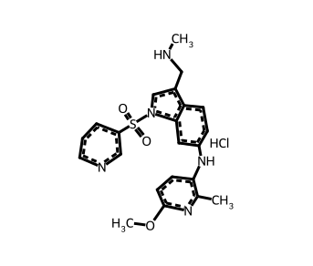 CNCc1cn(S(=O)(=O)c2cccnc2)c2cc(Nc3ccc(OC)nc3C)ccc12.Cl